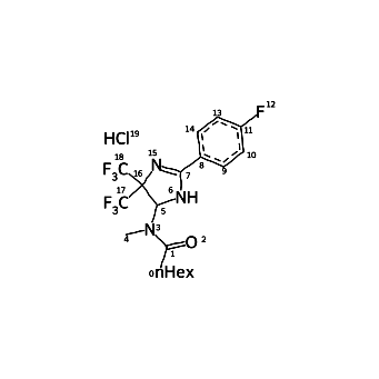 CCCCCCC(=O)N(C)C1NC(c2ccc(F)cc2)=NC1(C(F)(F)F)C(F)(F)F.Cl